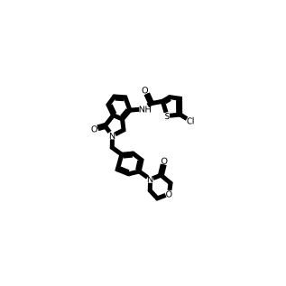 O=C(Nc1cccc2c1CN(Cc1ccc(N3CCOCC3=O)cc1)C2=O)c1ccc(Cl)s1